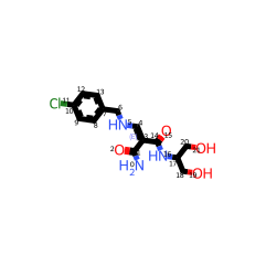 NC(=O)/C(=C\NCc1ccc(Cl)cc1)C(=O)NC(CO)CO